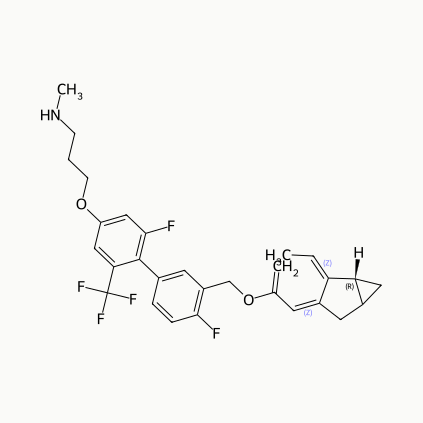 C=C(/C=C1/CC2C[C@H]2/C1=C/C)OCc1cc(-c2c(F)cc(OCCCNC)cc2C(F)(F)F)ccc1F